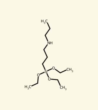 CCCNCCC[Si](OCC)(OCC)OCC